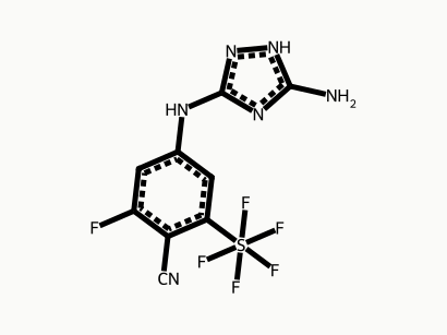 N#Cc1c(F)cc(Nc2n[nH]c(N)n2)cc1S(F)(F)(F)(F)F